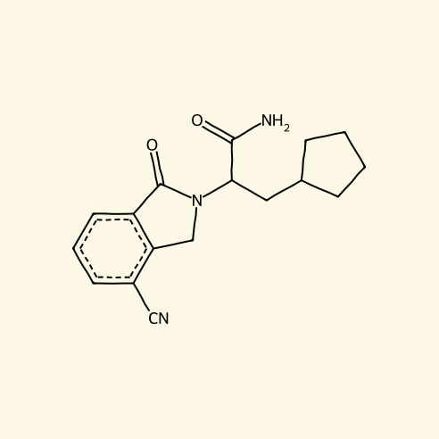 N#Cc1cccc2c1CN(C(CC1CCCC1)C(N)=O)C2=O